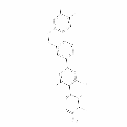 COC(=O)C(C)N(C)C(=O)c1c(C)cc(-c2cccc(N[C@H](C)c3ccc(Cl)c(C)c3)c2)cc1C